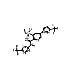 CCS(=O)(=O)c1cc(-n2ccc(C(F)(F)F)n2)cnc1C(=O)N(C)c1nnc(C(F)(F)F)s1